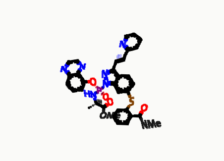 CNC(=O)c1ccccc1Sc1ccc2c(/C=C/c3ccccn3)nn(P(=O)(N[C@@H](C)C(=O)OC)Oc3cccc4nccnc34)c2c1